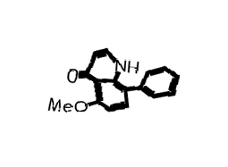 COc1ccc(-c2ccccc2)c2[nH]ccc(=O)c12